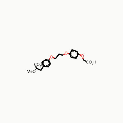 CO[C@@H](Cc1ccc(OCCCOc2ccc(OCC(=O)O)cc2)cc1)C(=O)O